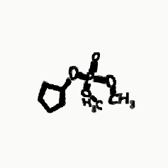 COP(=O)(OC)OC1CCCC1